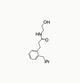 CC(C)Cc1ccccc1CCC(=O)NCCO